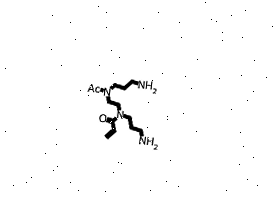 C=CC(=O)N(CCCN)CCN(CCCN)C(C)=O